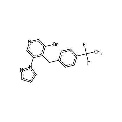 FC(F)(F)C(F)(F)c1ccc(Cc2c(Br)cncc2-n2cccn2)cc1